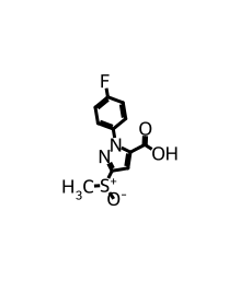 C[S+]([O-])c1cc(C(=O)O)n(-c2ccc(F)cc2)n1